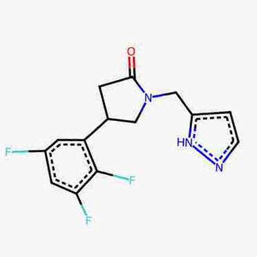 O=C1CC(c2cc(F)cc(F)c2F)CN1Cc1ccn[nH]1